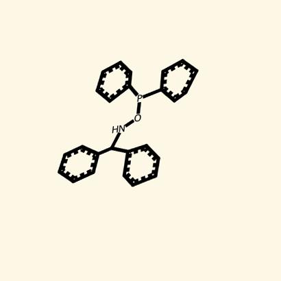 c1ccc(C(NOP(c2ccccc2)c2ccccc2)c2ccccc2)cc1